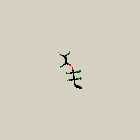 C=CC(F)(F)C(F)(F)OC(F)=C(F)F